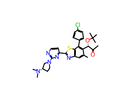 CC(=O)[C@@H](OC(C)(C)C)c1c(C)cc2nc(-c3ccnc(N4CC[C@H](N(C)C)C4)n3)sc2c1-c1ccc(Cl)cc1